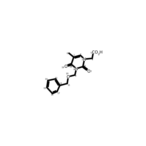 Cc1cn(CC(=O)O)c(=O)n(COCc2ccccc2)c1=O